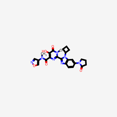 CN(C(=O)c1nc(-c2nc3ccc(N4CCCC4=O)cc3n2C2CCC2)n(C)c(=O)c1O)c1cnoc1